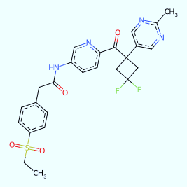 CCS(=O)(=O)c1ccc(CC(=O)Nc2ccc(C(=O)C3(c4cnc(C)nc4)CC(F)(F)C3)nc2)cc1